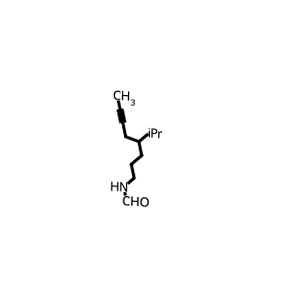 CC#CCC(CCCNC=O)C(C)C